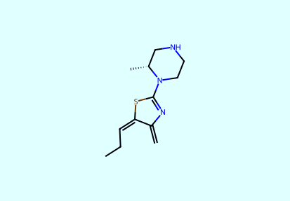 C=c1nc(N2CCNC[C@H]2C)s/c1=C/CC